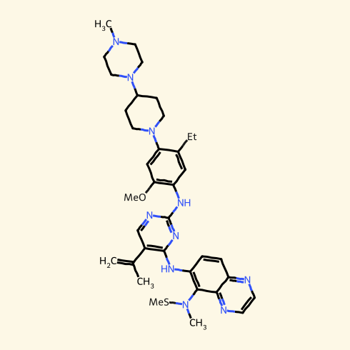 C=C(C)c1cnc(Nc2cc(CC)c(N3CCC(N4CCN(C)CC4)CC3)cc2OC)nc1Nc1ccc2nccnc2c1N(C)SC